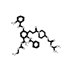 CCOC(=O)N=C(N)c1ccc(OC(=O)c2ccccc2N)c(CCC(=O)N2CCC(OCC(=O)OC(C)C)CC2)c1NC(=O)c1ccccc1